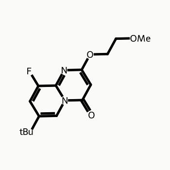 COCCOc1cc(=O)n2cc(C(C)(C)C)cc(F)c2n1